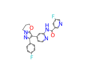 O=C(Nc1cc(-c2c(-c3ccc(F)cc3)nn3c2OCCC3)ccn1)c1cncc(F)c1